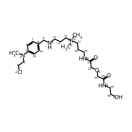 CN(CCCl)c1ccc(CNCCC[N+](C)(C)CCCNC(=O)COCC(=O)NCCO)cc1